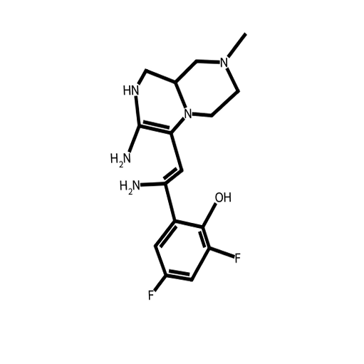 CN1CCN2C(/C=C(\N)c3cc(F)cc(F)c3O)=C(N)NCC2C1